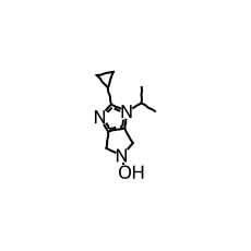 CC(C)n1c(C2CC2)nc2c1CN(O)C2